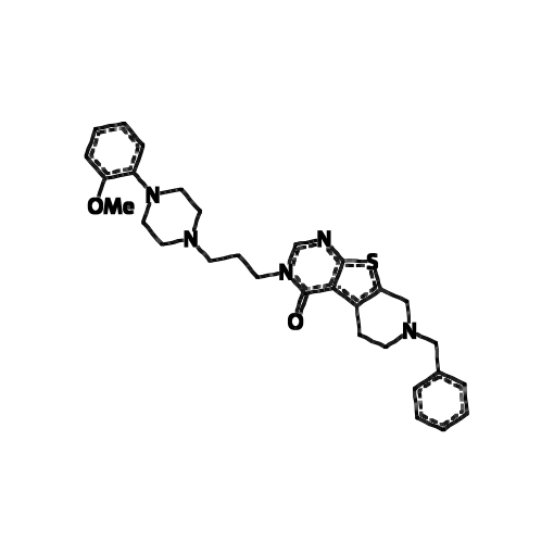 COc1ccccc1N1CCN(CCCn2cnc3sc4c(c3c2=O)CCN(Cc2ccccc2)C4)CC1